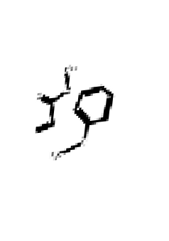 C=CC(=O)OC(C)(C)C.FC(F)(F)Oc1ccccc1